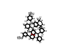 Cc1cc2c3c(c1)N(c1ccc(C(C)(C)C)cc1-c1ccccc1)c1ccc(C(c4ccccc4)c4ccccc4)cc1B3c1cc3c(cc1N2c1ccc(C(C)(C)C)cc1C)C(C)(C)CCC3(C)C